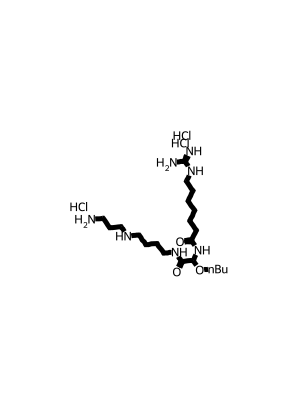 CCCCOC(NC(=O)CCCCCCNC(=N)N)C(=O)NCCCCNCCCN.Cl.Cl.Cl